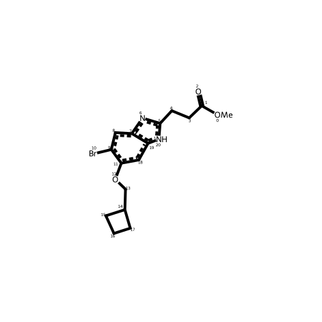 COC(=O)CCc1nc2cc(Br)c(OCC3CCC3)cc2[nH]1